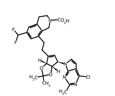 Cc1nc(Cl)c2ccn([C@@H]3C=C(CCc4cc(C(F)F)cc5c4CN(C(=O)O)CC5)[C@H]4OC(C)(C)O[C@H]43)c2n1